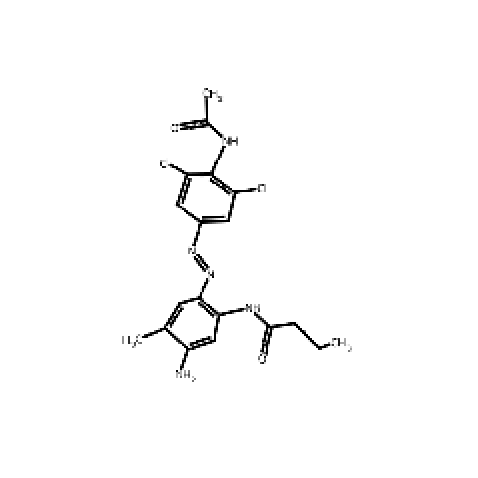 CCCC(=O)Nc1cc(N)c(C)cc1/N=N/c1cc(Cl)c(NC(C)=O)c(Cl)c1